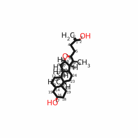 C=C(CO)CCC1O[C@H]2C[C@H]3[C@@H]4CCC5CC(O)CC[C@]5(C)[C@H]4CC[C@]3(C)[C@H]2[C@@H]1C